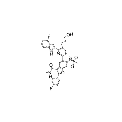 CNC(=O)c1c(-c2ccc(F)cc2)oc2cc(N(C)S(C)(=O)=O)c(-c3ccc(CCCO)c(-c4cc5c(F)cccc5[nH]4)n3)cc12